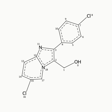 OCc1c(-c2ccc(Cl)cc2)nc2ccc(Cl)cn12